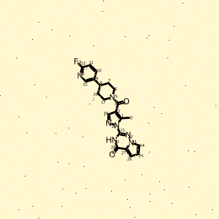 Cc1c(C(=O)N2CCC(c3ccc(F)nc3)CC2)cnn1-c1nn2cccc2c(=O)[nH]1